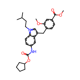 COC(=O)c1ccc(Cc2cn(CCC(C)C)c3ccc(NC(=O)OC4CCCC4)cc23)c(OC)c1